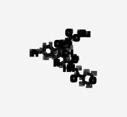 CC(C)c1ccc([C@](O)(c2cncc(C(=O)NCC(=O)C3CCOCC3)c2)C2(C)CN(C(=O)OC(C)(C)C)C2)cc1